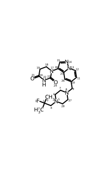 CC(C)(F)CN1CCN(Cc2ccn3ncc(N4CCC(=O)NC4=O)c3c2)CC1